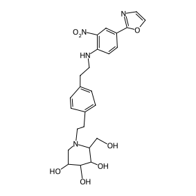 O=[N+]([O-])c1cc(-c2ncco2)ccc1NCCc1ccc(CCN2CC(O)C(O)C(O)C2CO)cc1